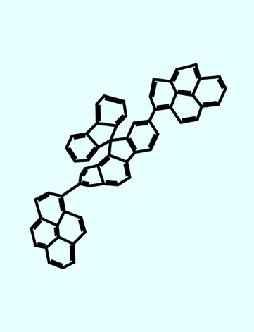 c1ccc2c(c1)-c1ccccc1C21c2cc(-c3ccc4ccc5cccc6ccc3c4c56)ccc2-c2ccc3cc(-c4ccc5ccc6cccc7ccc4c5c67)ccc3c21